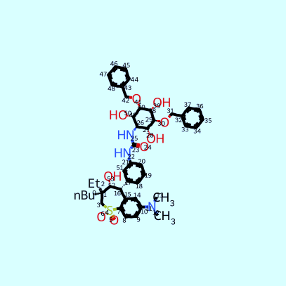 CCCC[C@]1(CC)CS(=O)(=O)c2ccc(N(C)C)cc2[C@@H](c2cccc(NC(=O)N[C@@H]3[C@@H](O)[C@H](OCc4ccccc4)[C@@H](O)[C@H](OCc4ccccc4)[C@H]3O)c2)[C@H]1O